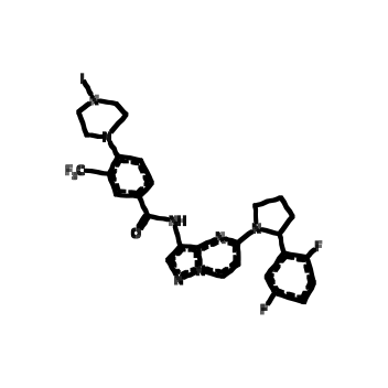 O=C(Nc1cnn2ccc(N3CCCC3c3cc(F)ccc3F)nc12)c1ccc(N2CCN(I)CC2)c(C(F)(F)F)c1